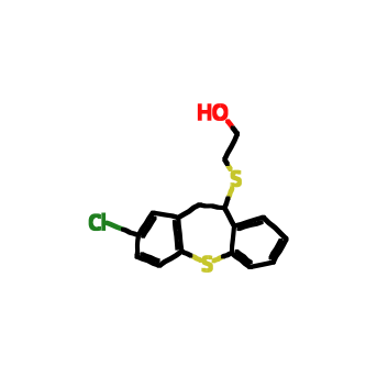 OCCSC1Cc2cc(Cl)ccc2Sc2ccccc21